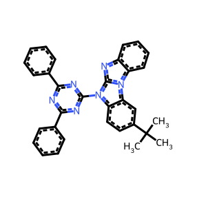 CC(C)(C)c1ccc2c(c1)n1c3ccccc3nc1n2-c1nc(-c2ccccc2)nc(-c2ccccc2)n1